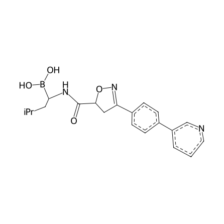 CC(C)CC(NC(=O)C1CC(c2ccc(-c3cccnc3)cc2)=NO1)B(O)O